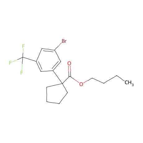 CCCCOC(=O)C1(c2cc(Br)cc(C(F)(F)F)c2)CCCC1